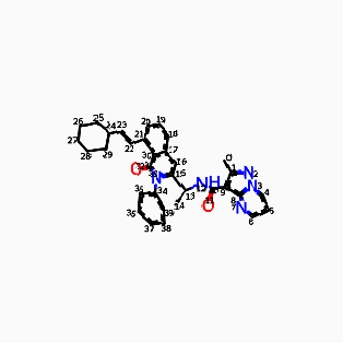 Cc1nn2cccnc2c1C(=O)N[C@@H](C)c1cc2cccc(/C=C/C3CCCCC3)c2c(=O)n1-c1ccccc1